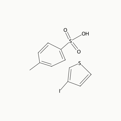 Cc1ccc(S(=O)(=O)O)cc1.Ic1ccsc1